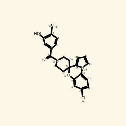 O=C(c1ccc(C(F)(F)F)c(O)c1)N1CCC2(CC1)Oc1cc(Cl)ccc1-n1cccc12